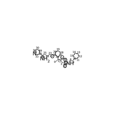 Cc1c(CS(=O)(=O)NCCc2ccccc2)oc2cccc(OCCCC(N)c3cccnc3)c12